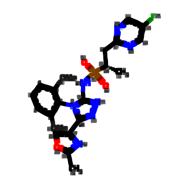 COc1cccc(OC)c1-n1c(NS(=O)(=O)[C@@H](C)Cc2ncc(F)cn2)nnc1-c1coc(C)n1